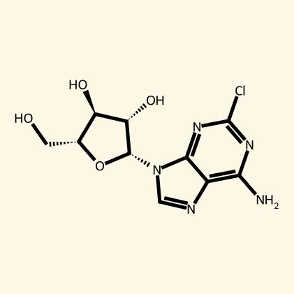 Nc1nc(Cl)nc2c1ncn2[C@@H]1O[C@H](CO)[C@@H](O)[C@@H]1O